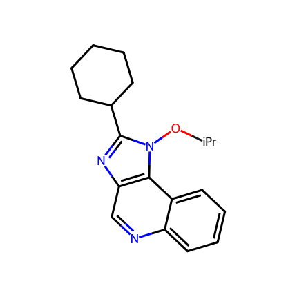 CC(C)On1c(C2CCCCC2)nc2cnc3ccccc3c21